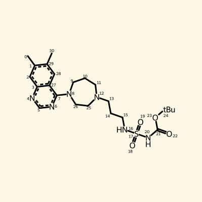 Cc1cc2ncnc(N3CCCN(CCCNS(=O)(=O)NC(=O)OC(C)(C)C)CC3)c2cc1C